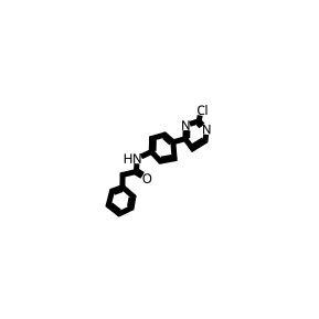 O=C(Cc1ccccc1)Nc1ccc(-c2ccnc(Cl)n2)cc1